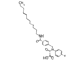 CCCCCCCCCCCCNC(=O)c1ccc(CN(C(=O)C(=O)O)c2ccc(I)cc2)cc1